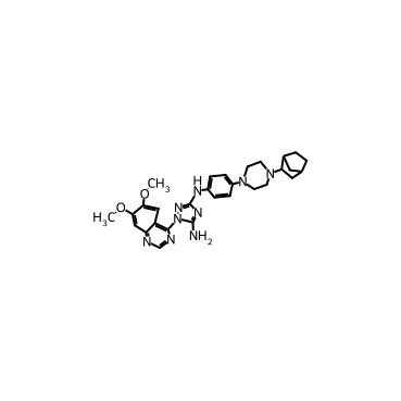 COc1cc2ncnc(-n3nc(Nc4ccc(N5CCN(C6CC7CCC6C7)CC5)cc4)nc3N)c2cc1OC